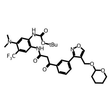 CN(C)c1cc(NC(=O)OC(C)(C)C)c(NC(=O)CC(=O)c2cccc(-c3nocc3COC3CCCCO3)c2)cc1C(F)(F)F